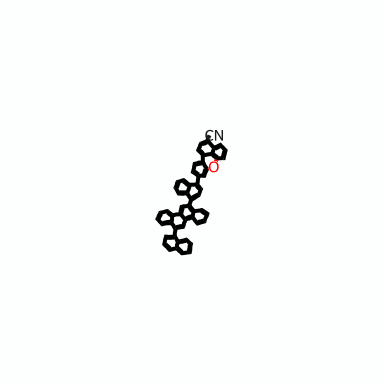 N#Cc1ccc2c3c(cccc13)Oc1cc(-c3ccc(-c4cc5c6ccccc6c(-c6cccc7ccccc67)cc5c5ccccc45)c4ccccc34)ccc1-2